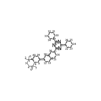 CC1(C)CCC(C)(C)c2cc(-c3ccc4ccc(-c5nc(-c6ccccc6)nc(-c6ccccc6)n5)cc4c3)ccc21